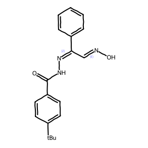 CC(C)(C)c1ccc(C(=O)N/N=C(\C=N\O)c2ccccc2)cc1